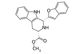 COC(=O)[C@@H]1Cc2c([nH]c3ccccc23)[C@H](c2cc3ccccc3o2)N1